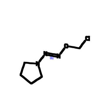 ClCO/N=N/N1CCCC1